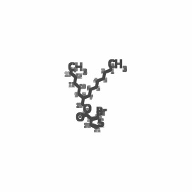 CCCCCCCCC(CCCCCC)COC(=O)c1ccsc1Br